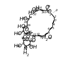 C[C@@H]1C/C=C/C=C/C=C/C=C/[C@H](O[C@@H]2O[C@H](C)[C@@H](O)[C@H](N)[C@@H]2O)C[C@@H]2O[C@](O)(C[C@@H](O)C[C@H]3O[C@@H]3/C=C/C(=O)O1)C[C@H](O)[C@H]2C(=O)O.O